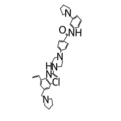 C=Cc1cc(CN2CCCC2)cc(Cl)c1NC(=C)N1CCN(c2ccc(C(=O)Nc3cccc(N4CCCC4)c3)cc2)CC1